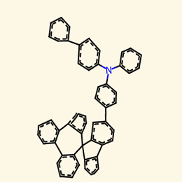 c1ccc(-c2ccc(N(c3ccccc3)c3ccc(-c4ccc5c(c4)C4(c6ccccc6-c6ccccc6-c6ccccc64)c4ccccc4-5)cc3)cc2)cc1